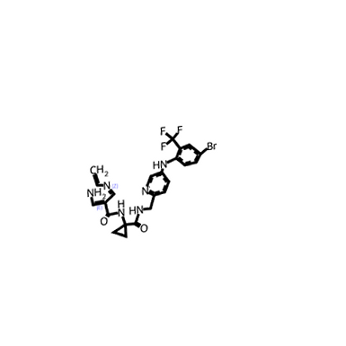 C=C/N=C\C(=C/N)C(=O)NC1(C(=O)NCc2ccc(Nc3ccc(Br)cc3C(F)(F)F)cn2)CC1